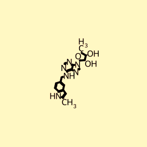 Cc1cc2cc(CNc3ncnc4c3ncn4[C@@H]3O[C@H](C)[C@@H](O)[C@H]3O)ccc2[nH]1